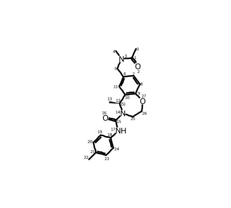 CC(=O)N(C)Cc1ccc2c(c1)[C@H](C)N(C(=O)Nc1ccc(C)cc1)CCO2